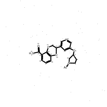 CC(=O)N1CCC(Oc2cncc(C3COc4c(cccc4C(N)=O)O3)c2)C1